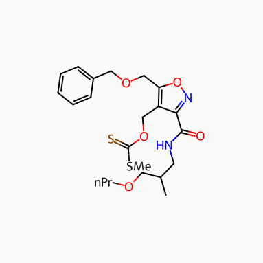 CCCOCC(C)CNC(=O)c1noc(COCc2ccccc2)c1COC(=S)SC